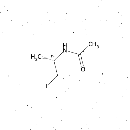 CC(=O)N[C@@H](C)CI